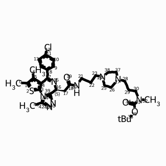 Cc1sc2c(c1C)C(c1ccc(Cl)cc1)=N[C@@H](CC(=O)NCCCN1CCN(CCCN(C)C(=O)OC(C)(C)C)CC1)c1nnc(C)n1-2